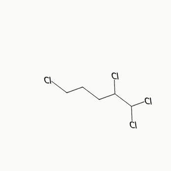 ClCCCC(Cl)C(Cl)Cl